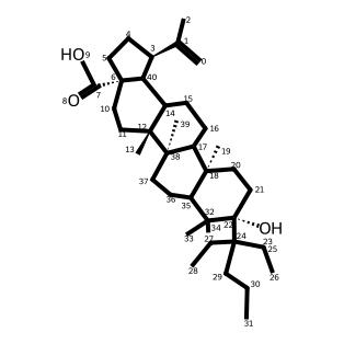 C=C(C)[C@@H]1CC[C@]2(C(=O)O)CC[C@]3(C)C(CCC4[C@@]5(C)CC[C@@](O)(C(CC)(CC)CCC)C(C)(C)C5CC[C@]43C)C12